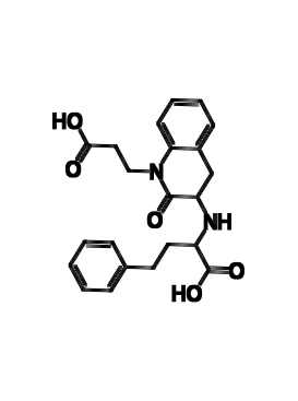 O=C(O)CCN1C(=O)C(NC(CCc2ccccc2)C(=O)O)Cc2ccccc21